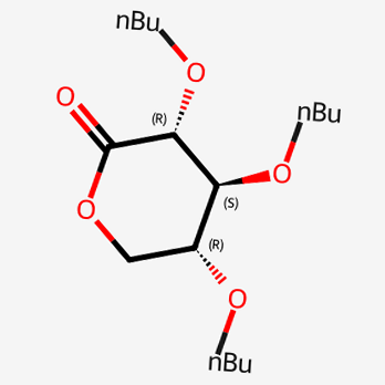 CCCCO[C@H]1[C@H](OCCCC)COC(=O)[C@@H]1OCCCC